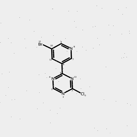 Clc1ncnc(-c2cncc(Br)c2)n1